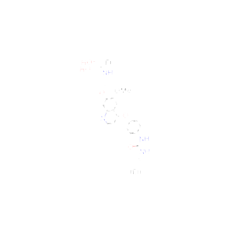 CCC(CO)(CO)NCCOc1cc2nccc(Oc3ccc(NC(=O)NCCC(C)(C)C)cc3)c2cc1OC